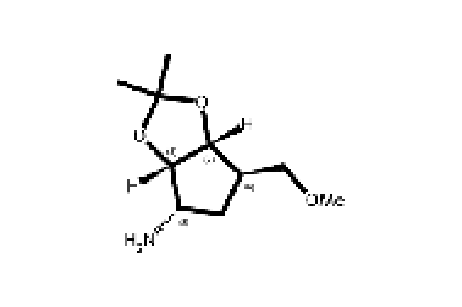 COC[C@H]1C[C@H](N)[C@@H]2OC(C)(C)O[C@H]12